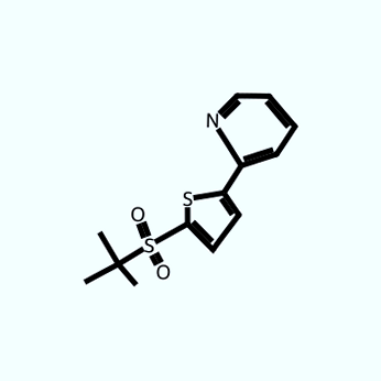 CC(C)(C)S(=O)(=O)c1ccc(-c2ccccn2)s1